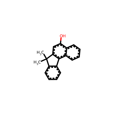 CC1(C)c2ccccc2-c2c1cc(O)c1ccccc21